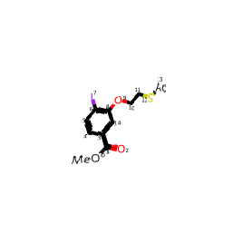 COC(=O)c1ccc(I)c(OCCSC(C)=O)c1